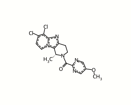 COc1cnc(C(=O)N2CCc3nc4c(Cl)c(Cl)ccn4c3[C@H]2C)nc1